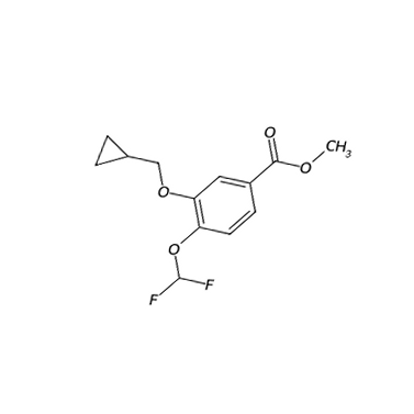 COC(=O)c1ccc(OC(F)F)c(OCC2CC2)c1